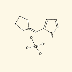 C(c1ccc[nH]1)=[N+]1CCCC1.[O-][Cl+3]([O-])([O-])[O-]